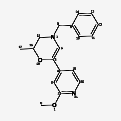 COc1cc(C2=CN(Cc3ccccc3)CC(C)O2)ccn1